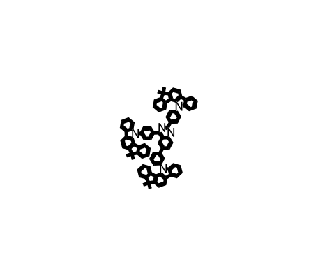 CC1(C)c2ccccc2-c2c1ccc1c3ccccc3n(-c3ccc(-c4nc(-c5ccc(-n6c7ccccc7c7ccc8c(c76)-c6ccccc6C8(C)C)cc5)c5cc(-c6cccc(-n7c8ccccc8c8ccc9c(c87)-c7ccccc7C9(C)C)c6)ccc5n4)cc3)c21